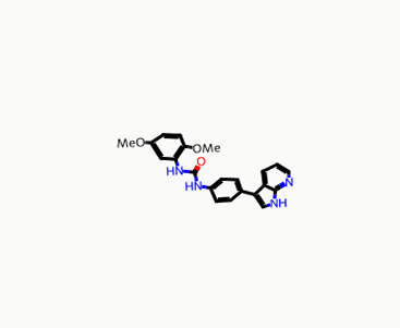 COc1ccc(OC)c(NC(=O)Nc2ccc(-c3c[nH]c4ncccc34)cc2)c1